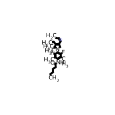 C=C/C=C\C1=C(C=C)C(C)(C)N(c2c(F)c(C)c(NC(=O)CCCCC)c(C)c2F)C1